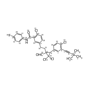 C[Si](C)(C)C#Cc1cc(C2C(Cl)(Cl)C2(C=O)CCc2ccc(Cl)c(C(=O)Nc3ccc(F)cc3)c2)ccc1Cl